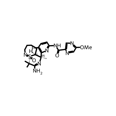 COc1cnc(C(=O)Nc2ccc(F)c([C@@]3(C)N=C(N)C(C)(C)[S@]4(=O)=NCCCC[C@@H]34)n2)cn1